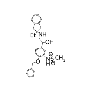 CCC1(NCC(O)c2ccc(OCc3ccccc3)c(NS(C)(=O)=O)c2)Cc2ccccc2C1